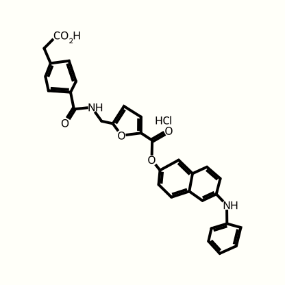 Cl.O=C(O)Cc1ccc(C(=O)NCc2ccc(C(=O)Oc3ccc4cc(Nc5ccccc5)ccc4c3)o2)cc1